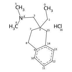 CCC1(CN(C)C)CCc2ccccc2C1.Cl